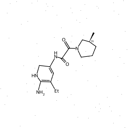 CCC1=C(N)NCC(NC(=O)C(=O)N2CCC[C@H](C)C2)=C1